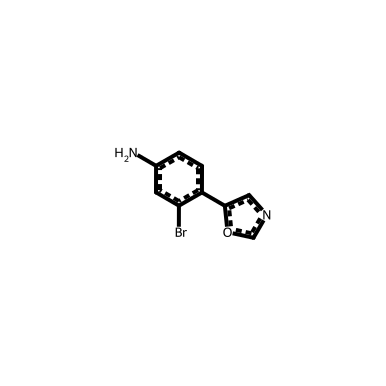 Nc1ccc(-c2cnco2)c(Br)c1